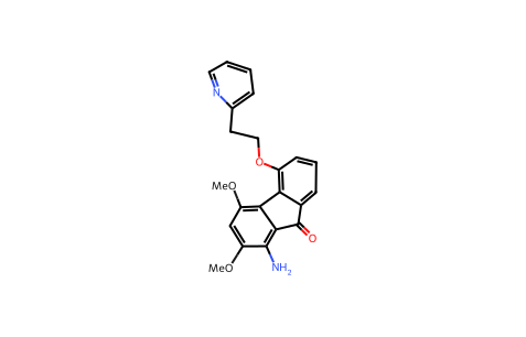 COc1cc(OC)c2c(c1N)C(=O)c1cccc(OCCc3ccccn3)c1-2